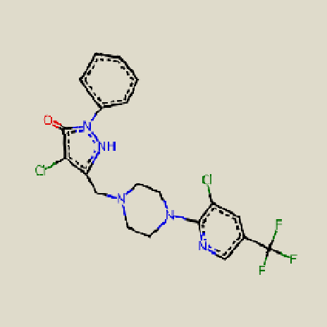 O=c1c(Cl)c(CN2CCN(c3ncc(C(F)(F)F)cc3Cl)CC2)[nH]n1-c1ccccc1